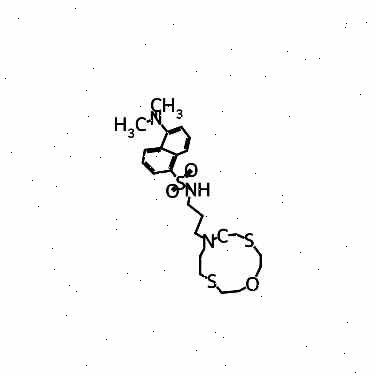 CN(C)c1cccc2c(S(=O)(=O)NCCCN3CCSCCOCCSCC3)cccc12